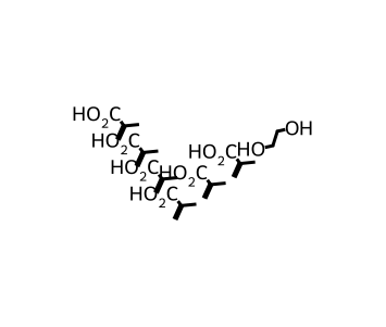 C=C(C)C(=O)O.C=C(C)C(=O)O.C=C(C)C(=O)O.C=C(C)C(=O)O.C=C(C)C(=O)O.C=C(C)C(=O)O.OCCO